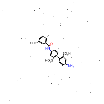 Nc1ccc(-c2ccc(NC(=O)c3cccc(C=O)c3)cc2S(=O)(=O)O)c(S(=O)(=O)O)c1